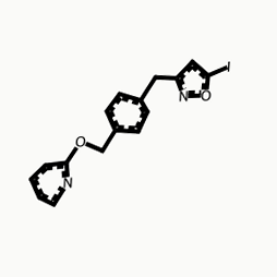 Ic1cc(Cc2ccc(COc3ccccn3)cc2)no1